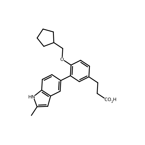 Cc1cc2cc(-c3cc(CCC(=O)O)ccc3OCC3CCCC3)ccc2[nH]1